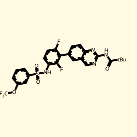 CC(C)(C)C(=O)Nc1ncc2cc(-c3c(F)ccc(NS(=O)(=O)c4cccc(OC(F)(F)F)c4)c3F)ccc2n1